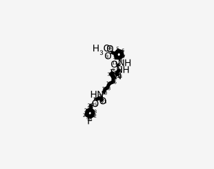 COC(=O)c1cccc(NC(=O)Nc2nc(CCCCCNC(=O)COCc3ccc(F)cc3)cs2)c1